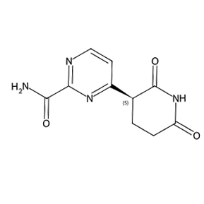 NC(=O)c1nccc([C@@H]2CCC(=O)NC2=O)n1